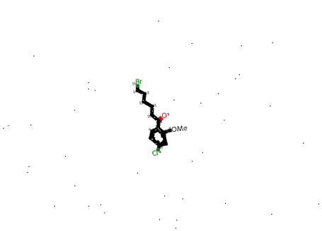 COc1cc(Cl)ccc1C(=O)CCCCCBr